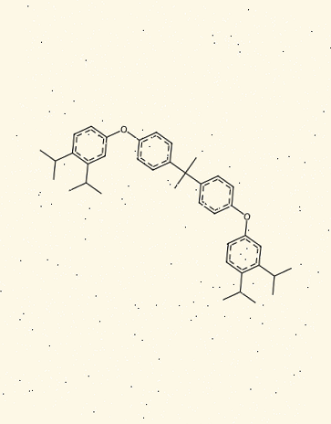 CC(C)c1ccc(Oc2ccc(C(C)(C)c3ccc(Oc4ccc(C(C)C)c(C(C)C)c4)cc3)cc2)cc1C(C)C